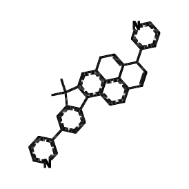 CC1(C)c2cc(-c3cccnc3)ccc2-c2c1cc1c3c4c(ccc23)C=CC(c2cccnc2)C4=CC1